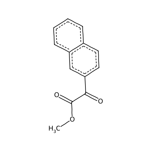 COC(=O)C(=O)c1ccc2ccccc2c1